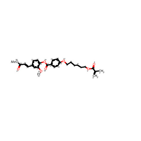 C=C(C)C(=O)OCCCCCCOc1ccc(C(=O)Oc2ccc(/C=C/C(=O)OC)cc2OCC)cc1